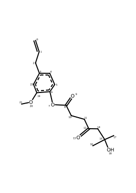 C=CCc1ccc(OC(=O)CCC(=O)CC(C)(C)O)c(OC)c1